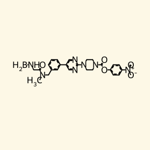 BNCC(=O)N(C)Cc1cccc(-c2cnc(N3CCN(C(=O)Oc4ccc([N+](=O)[O-])cc4)CC3)nc2)c1